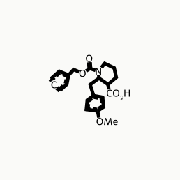 COc1ccc(CC2C(C(=O)O)CCCN2C(=O)OCc2ccccc2)cc1